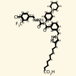 O=C(O)CCCCCCCCc1cn(Cc2cccc(C(=O)N(C(=O)NN=Cc3ccc(Cl)c(C(F)(F)F)c3)c3ccc(N4CCCCC4)cc3)c2)nn1